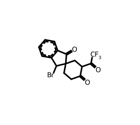 O=C1CCC2(CC1C(=O)C(F)(F)F)C(=O)c1ccccc1C2Br